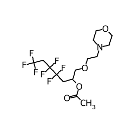 CC(=O)OC(COCCN1CCOCC1)CC(F)(F)C(F)(F)CC(F)(F)F